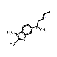 Cc1nc2cc([C@H](C)C/C=C/I)ccc2n1C